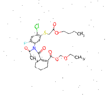 CCCCOC(=O)CSc1cc(N(C(C)=O)C(=O)C2=C(C(=O)OCOCC)CCCC2)c(F)cc1Cl